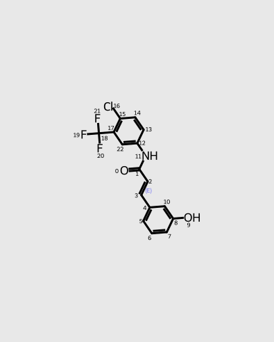 O=C(/C=C/c1cccc(O)c1)Nc1ccc(Cl)c(C(F)(F)F)c1